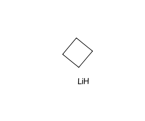 C1CCC1.[LiH]